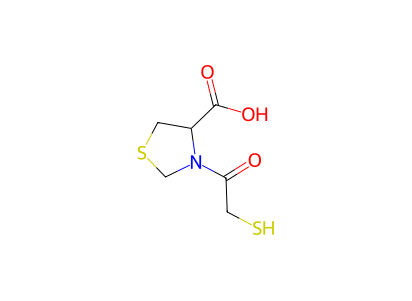 O=C(O)C1CSCN1C(=O)CS